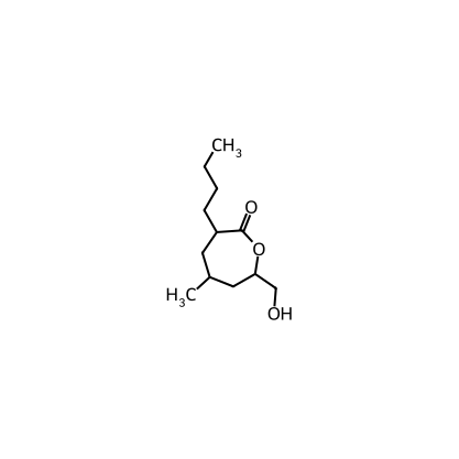 CCCCC1CC(C)CC(CO)OC1=O